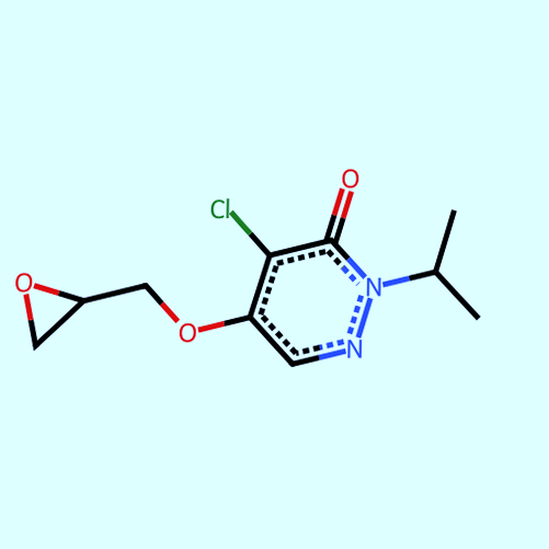 CC(C)n1ncc(OCC2CO2)c(Cl)c1=O